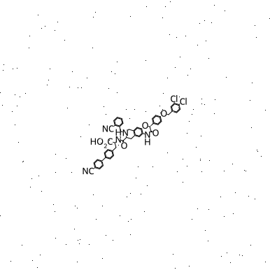 N#Cc1ccc(-c2ccc(C[C@H](NC(=O)C3Cc4cc5c(cc4CN3Cc3ccccc3C#N)O[C@@H](c3ccc(OCc4ccc(Cl)c(Cl)c4)cc3)C(=O)N5)C(=O)O)cc2)cc1